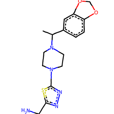 CC(c1ccc2c(c1)OCO2)N1CCN(c2nnc(CN)s2)CC1